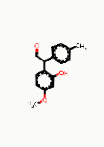 COc1ccc(C(C=O)c2ccc(C)cc2)c(O)c1